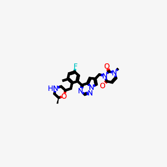 Cc1cc(F)cc(-c2ncnn3cc(Cn4c(=O)ccn(C)c4=O)cc23)c1CC1CNC[C@H](C)O1